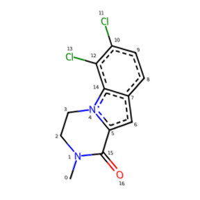 CN1CCn2c(cc3ccc(Cl)c(Cl)c32)C1=O